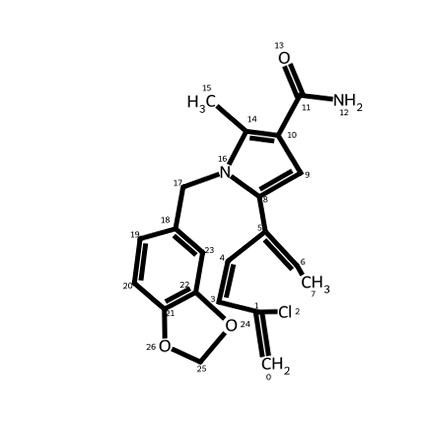 C=C(Cl)/C=C\C(=C/C)c1cc(C(N)=O)c(C)n1Cc1ccc2c(c1)OCO2